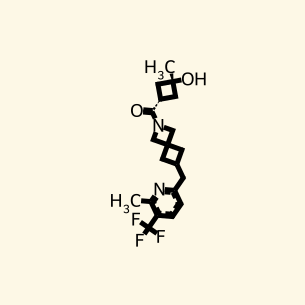 Cc1nc(CC2CC3(C2)CN(C(=O)[C@H]2C[C@@](C)(O)C2)C3)ccc1C(F)(F)F